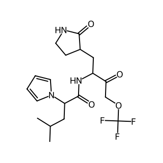 CC(C)CC(C(=O)NC(CC1CCNC1=O)C(=O)COC(F)(F)F)n1cccc1